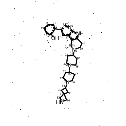 C[C@@H]1c2c([nH]c3nnc(-c4ccccc4O)cc23)CCN1C1CCN(C2CCN(C3CC4(CNC4)C3)CC2)CC1